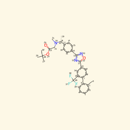 Cc1ccccc1-c1ccc(-c2nc(-c3ccc([C@@H](C)N(C)CC(=O)OC(C)(C)C)cc3)no2)cc1C(F)(F)F